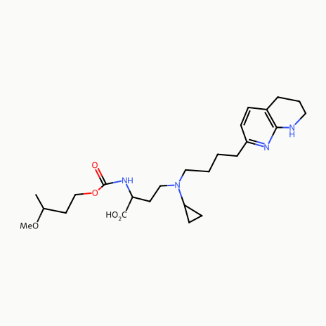 COC(C)CCOC(=O)NC(CCN(CCCCc1ccc2c(n1)NCCC2)C1CC1)C(=O)O